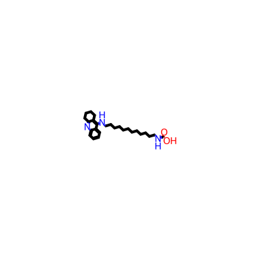 O=C(O)NCCCCCCCCCCCCNc1c2c(nc3ccccc13)CCCC2